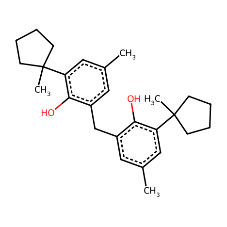 Cc1cc(Cc2cc(C)cc(C3(C)CCCC3)c2O)c(O)c(C2(C)CCCC2)c1